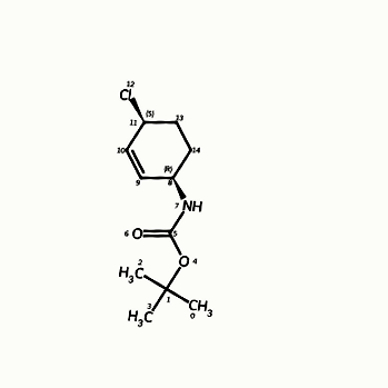 CC(C)(C)OC(=O)N[C@H]1C=C[C@@H](Cl)CC1